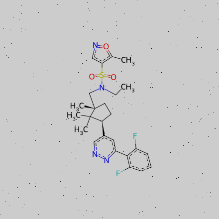 CCN(C[C@]1(C)CC[C@@H](c2cnnc(-c3c(F)cccc3F)c2)C1(C)C)S(=O)(=O)c1cnoc1C